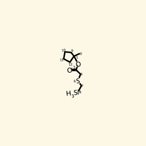 CC1(OC(=O)CSC[SiH3])CCCC1